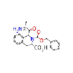 C[C@H](N)C(=O)C1c2ccccc2CC(C(=O)O)N1C(=O)OCc1ccccc1